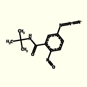 CC(C)(C)NC(=O)c1cc(N=[N+]=[N-])ccc1N=O